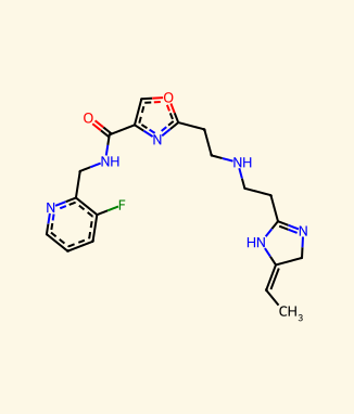 C/C=C1\CN=C(CCNCCc2nc(C(=O)NCc3ncccc3F)co2)N1